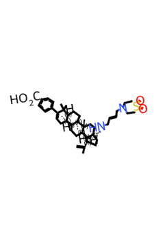 C=C(C)[C@@H]1CC[C@]2(CNCC=CCN3CCS(=O)(=O)CC3)CC[C@]3(C)[C@H](CC[C@@H]4[C@@]5(C)CC=C(c6ccc(C(=O)O)cc6)C(C)(C)[C@@H]5CC[C@]43C)[C@@H]12